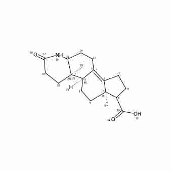 C[C@]12CC[C@@H]3C(=C1CCC2C(=O)O)CCC1NC(=O)CC[C@@]13C